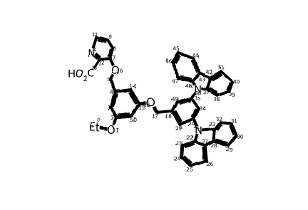 CCOc1cc(COc2cccnc2C(=O)O)cc(OCc2cc(-n3c4ccccc4c4ccccc43)cc(-n3c4ccccc4c4ccccc43)c2)c1